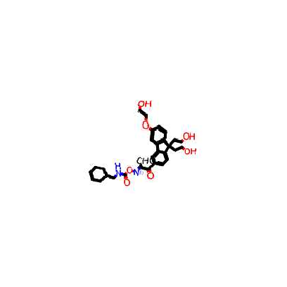 O=C/C(=N\OC(=O)NCC1CCCCC1)C(=O)c1ccc2c(c1)-c1cc(OCCO)ccc1C2(CCO)CCO